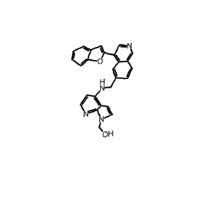 OCn1ccc2c(NCc3ccc4cncc(-c5cc6ccccc6o5)c4c3)ccnc21